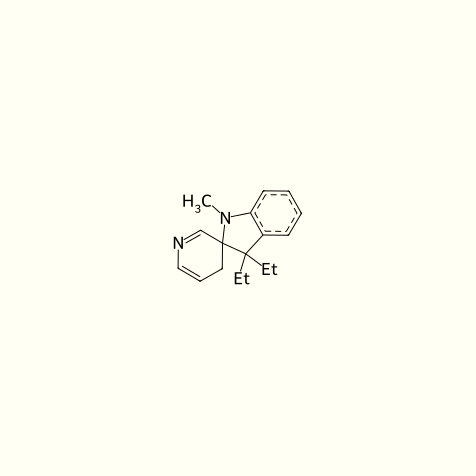 CCC1(CC)c2ccccc2N(C)C12C=NC=CC2